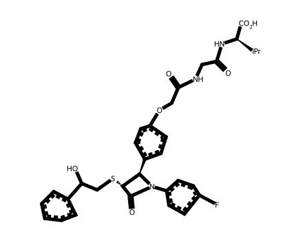 CC(C)[C@@H](NC(=O)CNC(=O)COc1ccc([C@@H]2[C@@H](SCC(O)c3ccccc3)C(=O)N2c2ccc(F)cc2)cc1)C(=O)O